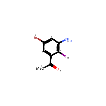 COC(=O)c1cc(Br)cc(N)c1I